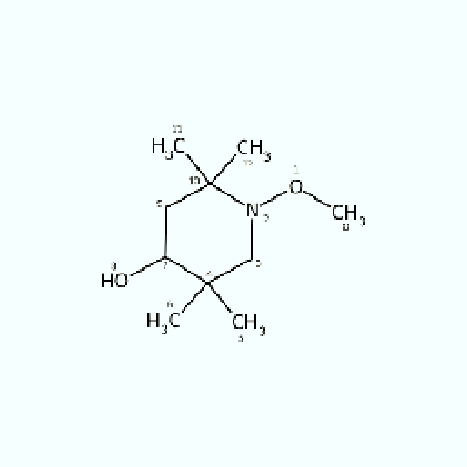 CON1CC(C)(C)C(O)CC1(C)C